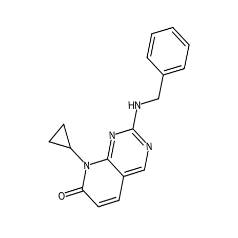 O=c1ccc2cnc(NCc3ccccc3)nc2n1C1CC1